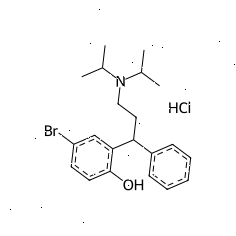 CC(C)N(CCC(c1ccccc1)c1cc(Br)ccc1O)C(C)C.Cl